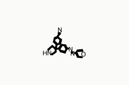 N#Cc1ccc(C2(c3ccc(N=NC4=CCOC=C4)cc3)CCNCC2)cc1